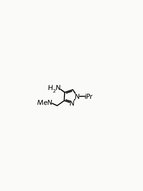 CNCc1nn(C(C)C)cc1N